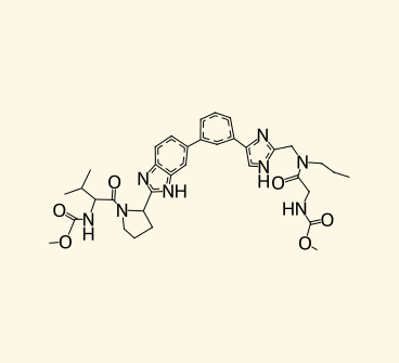 CCCN(Cc1nc(-c2cccc(-c3ccc4nc(C5CCCN5C(=O)C(NC(=O)OC)C(C)C)[nH]c4c3)c2)c[nH]1)C(=O)CNC(=O)OC